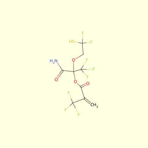 C=C(C(=O)OC(OCC(F)(F)S)(C(N)=O)C(F)(F)F)C(F)(F)F